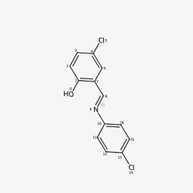 Oc1ccc(Cl)cc1/C=N/c1ccc(Cl)cc1